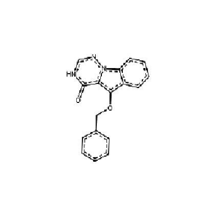 O=c1[nH]cnn2c1c(OCc1ccccc1)c1ccccc12